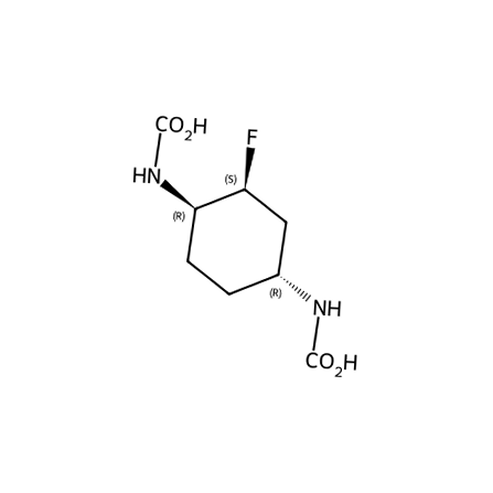 O=C(O)N[C@@H]1CC[C@@H](NC(=O)O)[C@@H](F)C1